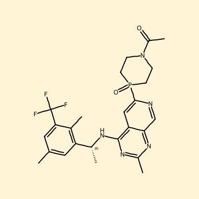 CC(=O)N1CCP(=O)(c2cc3c(N[C@H](C)c4cc(C)cc(C(F)(F)F)c4C)nc(C)nc3cn2)CC1